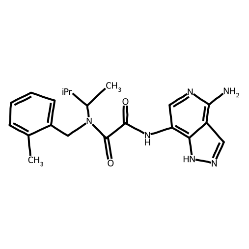 Cc1ccccc1CN(C(=O)C(=O)Nc1cnc(N)c2cn[nH]c12)C(C)C(C)C